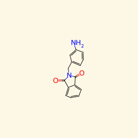 Nc1cccc(CN2C(=O)c3ccccc3C2=O)c1